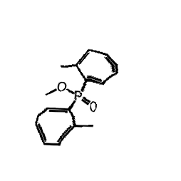 COP(=O)(c1ccccc1C)c1ccccc1C